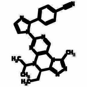 CC[C@@H]1c2nnc(C)n2-c2cnc(-n3ccnc3-c3ccc(C#N)cc3)nc2N1C(C)C